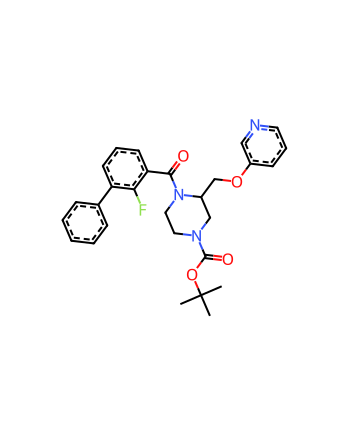 CC(C)(C)OC(=O)N1CCN(C(=O)c2cccc(-c3ccccc3)c2F)C(COc2cccnc2)C1